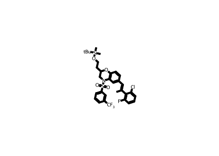 CC(=Cc1ccc2c(c1)N(S(=O)(=O)c1cccc(C(F)(F)F)c1)CC(CCO[Si](C)(C)C(C)(C)C)O2)c1c(F)cccc1Cl